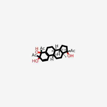 CC(=O)C1(O)C=CC2=C(CC[C@@H]3[C@@H]2CC[C@@]2(C)[C@H]3CC[C@@]2(O)C(C)=O)C1(O)C(C)=O